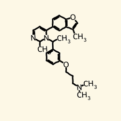 Cc1coc2ccc(C3=CC=NC(C)N3C(C)c3cccc(OCCCN(C)C)c3)cc12